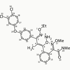 CCON=C(C(C)=C(ON)c1ccccc1C(=NOC)C(=O)NC)c1ccc(Oc2ccc(Cl)c(Cl)c2)cc1